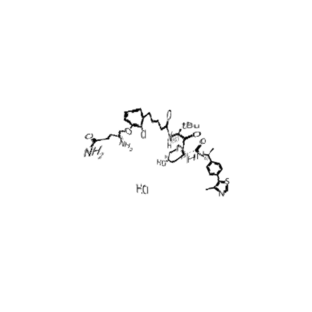 Cc1ncsc1-c1ccc([C@H](C)NC(=O)[C@@H]2C[C@@H](O)CN2C(=O)[C@@H](NC(=O)CCCCc2cccc(OC[C@@H](N)CCC(N)=O)c2Cl)C(C)(C)C)cc1.Cl